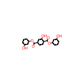 O=C(Oc1cccc(O)c1)c1ccc(C(=O)Oc2cccc(O)c2)c(O)c1